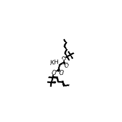 CCCCCC(C)(OC(=O)CC(=O)OC(C)(CCCCC)C(C)(C)C)C(C)(C)C.[KH]